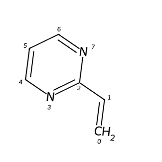 C=Cc1ncccn1